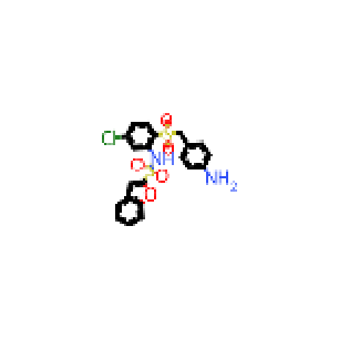 Nc1ccc(CS(=O)(=O)c2ccc(Cl)cc2NS(=O)(=O)c2cc3ccccc3o2)cc1